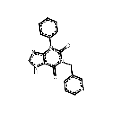 O=c1c2[nH]cnc2n(-c2ccccc2)c(=O)n1Cc1cccnc1